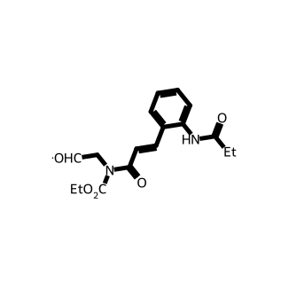 CCOC(=O)N(C[C]=O)C(=O)/C=C/c1ccccc1NC(=O)CC